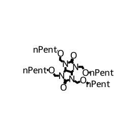 CCCCCOCN1C(=O)N(COCCCCC)C2C1N(COCCCCC)C(=O)N2COCCCCC